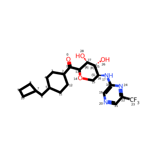 O=C(C1CCC(CC2CCC2)CC1)C1OC[C@H](Nc2cncc(C(F)(F)F)n2)[C@@H](O)[C@H]1O